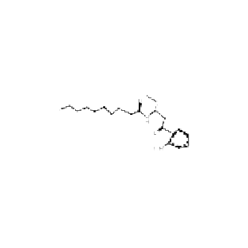 CCCCCCCCCC(=O)N[C@H](CC)CC(=O)c1ccccc1N